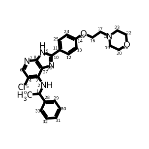 CC(Nc1c(Cl)cnc2[nH]c(-c3ccc(OCCN4CCOCC4)cc3)nc12)c1ccccc1